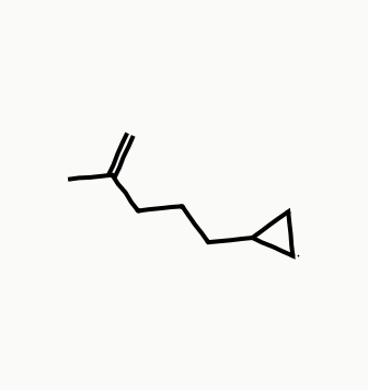 C=C(C)CCCC1[CH]C1